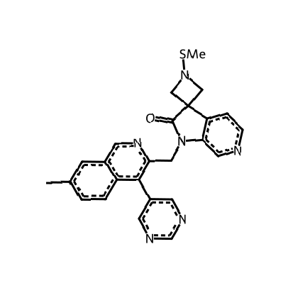 CSN1CC2(C1)C(=O)N(Cc1ncc3cc(C)ccc3c1-c1cncnc1)c1cnccc12